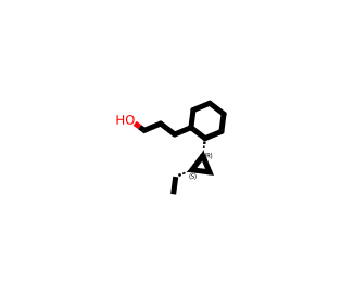 CC[C@H]1C[C@H]1C1CCCCC1CCCO